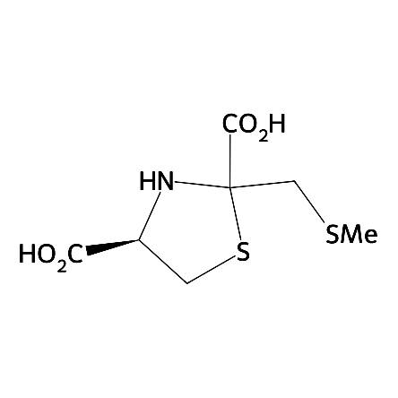 CSCC1(C(=O)O)N[C@H](C(=O)O)CS1